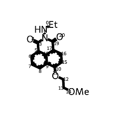 CCNN1C(=O)c2cccc3c(OCCOC)ccc(c23)C1=O